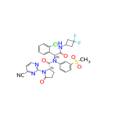 CS(=O)(=O)c1cccc(N(C(=O)[C@@H]2CCC(=O)N2c2nccc(C#N)n2)[C@H](C(=O)NC2CC(F)(F)C2)c2ccccc2Cl)c1